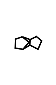 [CH]1CC2CC1C1[CH]CCC21